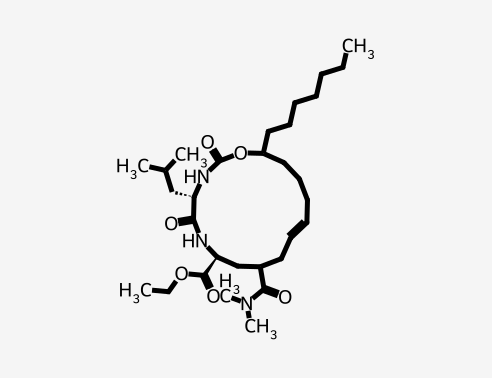 CCCCCCCC1CCC/C=C/CC(C(=O)N(C)C)C[C@@H](C(=O)OCC)NC(=O)[C@H](CC(C)C)NC(=O)O1